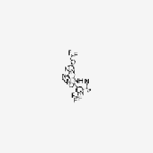 CC(NC(=O)c1cc(C(F)(F)F)nc(C2(C#N)CC2)c1)c1nccnc1-c1ncc(OCC(F)F)cn1